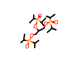 CC(C)P(=O)(OCC(COP(=O)(C(C)C)C(C)C)OP(=O)(C(C)C)C(C)C)C(C)C